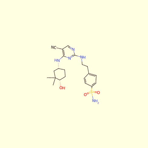 CC1(C)C[C@H](Nc2nc(NCCc3ccc(S(N)(=O)=O)cc3)ncc2C#N)CC[C@@H]1O